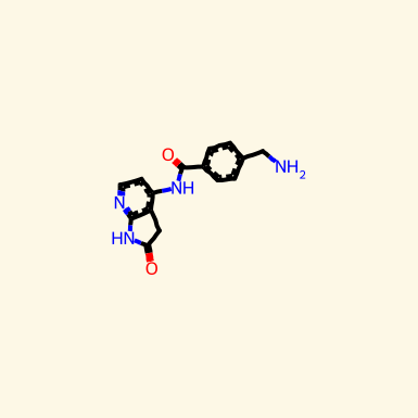 NCc1ccc(C(=O)Nc2ccnc3c2CC(=O)N3)cc1